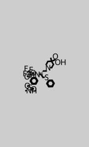 CNS(=O)(=O)c1ccc(N[C@H](CCN2CCC(C)(C(=O)O)CC2)CSc2ccccc2)c(S(=O)(=O)C(F)(F)F)c1